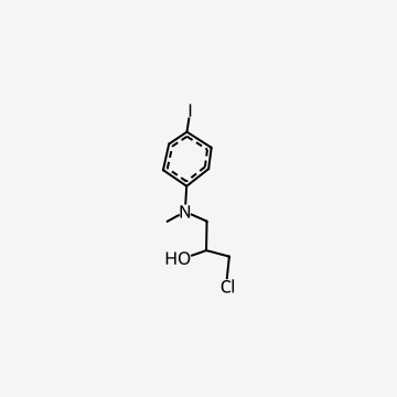 CN(CC(O)CCl)c1ccc(I)cc1